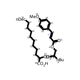 CCCCC(CC)COC(=O)/C=C/c1ccc(OC)cc1.CCCCCCCCCCCCCCCCCCC(C(=O)O)C(=O)O